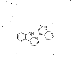 [c]1nnc2ccccc2c1-c1cccc2c1[nH]c1ccccc12